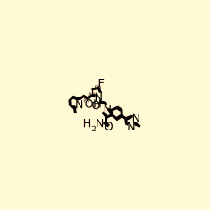 Cc1cccc(C[C@@H](O)[C@H]2C[C@@H](F)CN2C(=O)Cn2cc(C(N)=O)c3cc(-c4cnc(C)nc4)ccc32)n1